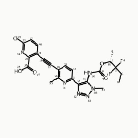 CCC(F)(F)[C@@H](C)OC(=O)Nc1c(-c2ccc(C#Cc3ccc(Cl)nc3C(=O)O)c(C)n2)nnn1C